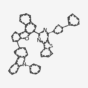 c1ccc(-c2ccc(-c3nc(-c4cc5ccccc5c5c4oc4c(-c6ccc7c(c6)c6ccccc6n7-c6ccccc6)cccc45)nc4c3sc3ccccc34)cc2)cc1